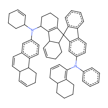 C1=CC(N(c2ccc3c(c2)C=CC2C=CCCC32)C2CCCC3=C2C2C=CCCC2C32c3ccccc3-c3ccc(N(C4=C5CCCCC5CC=C4)c4ccccc4)cc32)CCC1